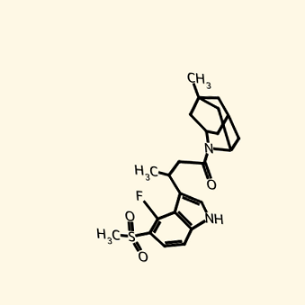 CC(CC(=O)N1C2CC3CC1CC(C)(C3)C2)c1c[nH]c2ccc(S(C)(=O)=O)c(F)c12